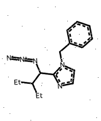 CCC(CC)C(N=[N+]=[N-])c1nccn1Cc1ccccc1